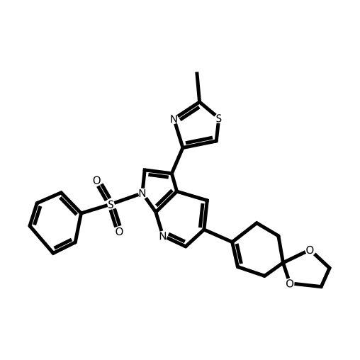 Cc1nc(-c2cn(S(=O)(=O)c3ccccc3)c3ncc(C4=CCC5(CC4)OCCO5)cc23)cs1